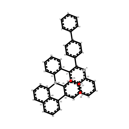 c1ccc(-c2ccc(-c3nc4ccccc4nc3-c3ccccc3N3c4ccccc4-c4cccc5cccc3c45)cc2)cc1